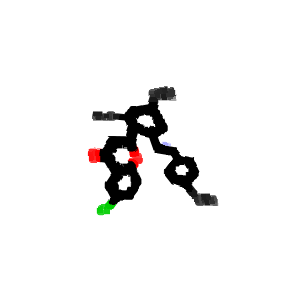 COc1ccc(/C=C/c2cc(OC)cc(OC)c2-c2cc(=O)c3cc(Cl)ccc3o2)cc1